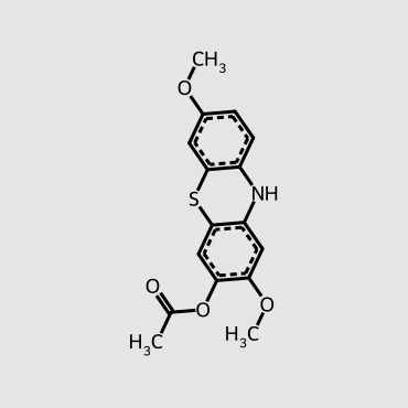 COc1ccc2c(c1)Sc1cc(OC(C)=O)c(OC)cc1N2